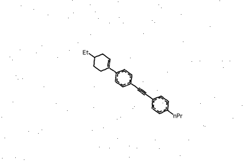 CCCc1ccc(C#Cc2ccc(C3=CCC(CC)CC3)cc2)cc1